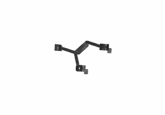 BC=C(C)CC